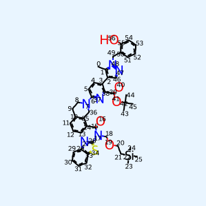 Cc1c(-c2ccc(N3CCc4cccc(C(=O)N(COCC[Si](C)(C)C)c5nc6ccccc6s5)c4C3)nc2C(=O)OC(C)(C)C)cnn1Cc1ccccc1O